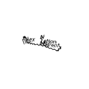 CCCCC/C=C\C/C=C\CCCCCCCCC(CCCCCCCC/C=C\C/C=C\CCCCCC)N(CCCN(C)C)C(=O)CCCCCCCCC